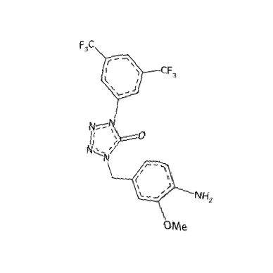 COc1cc(Cn2nnn(-c3cc(C(F)(F)F)cc(C(F)(F)F)c3)c2=O)ccc1N